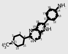 CN1CCC(c2ncc3[nH]c(-c4ccc(N)cc4)cc3n2)CC1